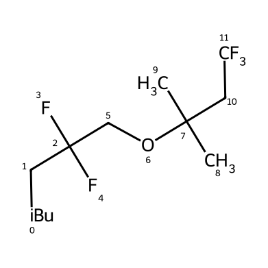 CCC(C)CC(F)(F)COC(C)(C)CC(F)(F)F